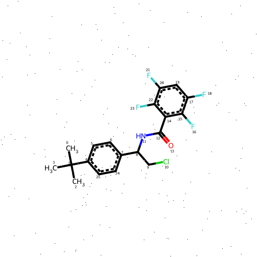 CC(C)(C)c1ccc(C(CCl)NC(=O)c2c(F)c(F)cc(F)c2F)cc1